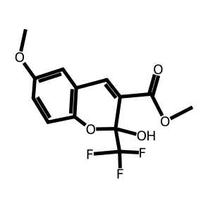 COC(=O)C1=Cc2cc(OC)ccc2OC1(O)C(F)(F)F